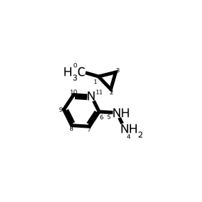 CC1CC1.NNc1ccccn1